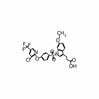 CCOc1ccc2c(CCC(=O)O)cn(S(=O)(=O)c3ccc(Oc4ncc(C(F)(F)F)cc4Cl)cc3)c2c1